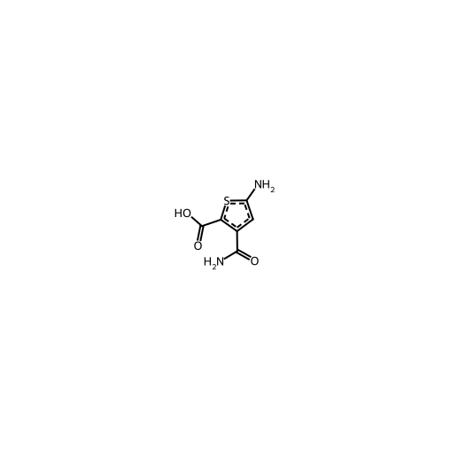 NC(=O)c1cc(N)sc1C(=O)O